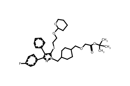 CC(C)(C)OC(=O)COCC1CCC(Cn2nc(-c3ccc(F)cc3)c(-c3ccccc3)c2SCCOC2CCCCO2)CC1